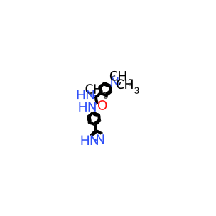 CNC(C(=O)Nc1ccc(-c2cn[nH]c2)cc1)c1ccc(N(C)C)cc1